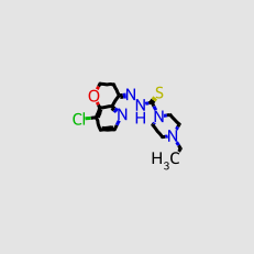 CCN1CCN(C(=S)N/N=C2/CCOc3c(Cl)ccnc32)CC1